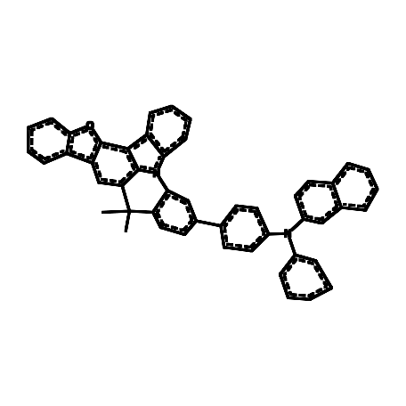 CC1(C)c2ccc(-c3ccc(N(c4ccccc4)c4ccc5ccccc5c4)cc3)cc2-n2c3ccccc3c3c4oc5ccccc5c4cc1c32